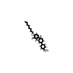 C=CCCCCCCOc1ccc(C2(F)CCC(C3CCC(CCC)CC3)CC2)c(F)c1F